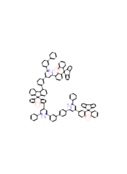 c1ccc(-c2cccc(-c3cc(-c4cccc(-c5cccc6c5-c5ccccc5C65c6ccccc6Oc6c(-c7cc(-c8ccccc8)nc(-c8cccc(-c9ccc(-c%10cc(-c%11ccc%12c(c%11)C%11(c%13ccccc%13O%12)c%12ccccc%12-c%12ccccc%12%11)cc(-c%11ccccc%11)n%10)cc9)c8)c7)cccc65)c4)cc(-c4cccc5c4Oc4ccccc4C54c5ccccc5-c5ccccc54)n3)c2)cc1